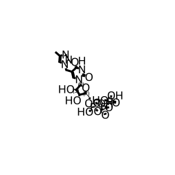 Cc1cn(Cc2cn([C@@H]3O[C@H](COP(=O)(O)OP(=O)(O)OP(=O)(O)O)C(O)[C@@H]3O)c(=O)[nH]c2=O)nn1